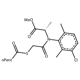 CCCCCC(=O)SCC(=O)N(c1c(C)ccc(Cl)c1C)[C@@H](C)C(=O)OC